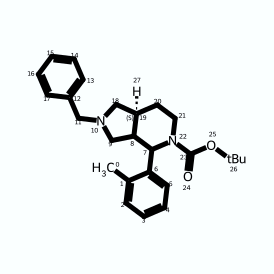 Cc1ccccc1C1C2CN(Cc3ccccc3)C[C@H]2CCN1C(=O)OC(C)(C)C